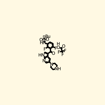 CCCCS(=O)(=O)Nc1ccc(F)c(C(=O)c2c[nH]c3ncc(N4CCNCC4)cc23)c1F.O=C(O)C(F)(F)F